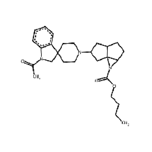 CCCCOC(=O)N1C2CCC3CC(N4CCC5(CC4)CN(C(C)=O)c4ccccc45)CC321